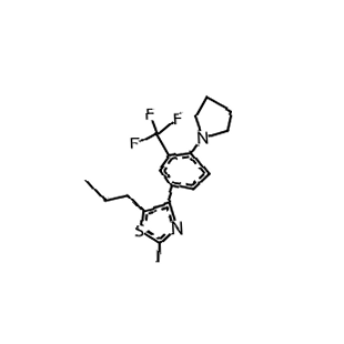 CCCc1sc(C)nc1-c1ccc(N2CCCC2)c(C(F)(F)F)c1